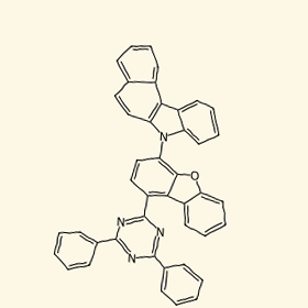 c1ccc(-c2nc(-c3ccccc3)nc(-c3ccc(-n4c5ccccc5c5c6ccccc6ccc54)c4oc5ccccc5c34)n2)cc1